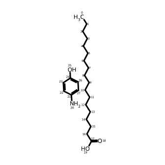 CCCCCCCCCCCCCCCCCC(=O)O.Nc1ccc(O)cc1